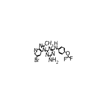 Cc1nc2ncc(Br)cc2n1-c1nc(N)nc(Nc2ccc(OC(F)F)cc2)n1